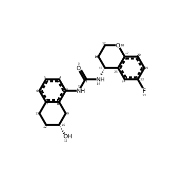 O=C(Nc1cccc2c1C[C@H](O)CC2)N[C@@H]1CCOc2ccc(F)cc21